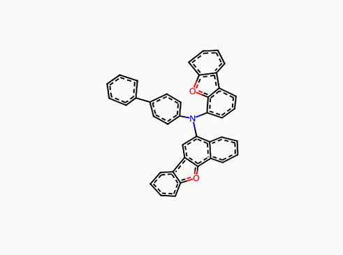 c1ccc(-c2ccc(N(c3cc4c5ccccc5oc4c4ccccc34)c3cccc4c3oc3ccccc34)cc2)cc1